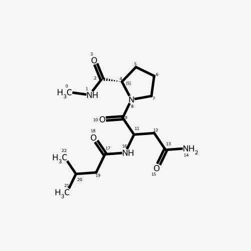 CNC(=O)[C@@H]1CCCN1C(=O)C(CC(N)=O)NC(=O)CC(C)C